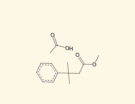 CC(=O)O.COC(=O)CC(C)(C)c1ccccc1